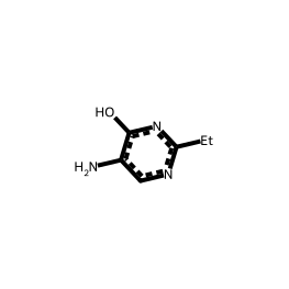 CCc1ncc(N)c(O)n1